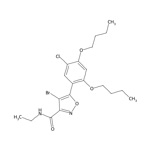 CCCCOc1cc(OCCCC)c(-c2onc(C(=O)NCC)c2Br)cc1Cl